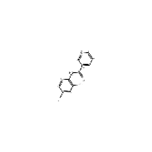 Fc1cc(I)ccc1NC(=S)c1cccnc1